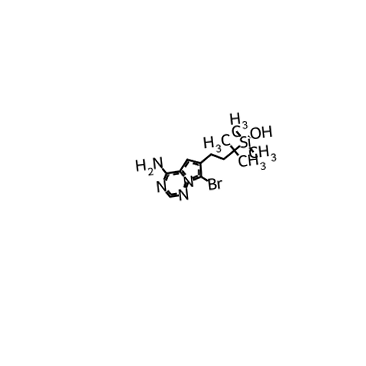 CC(C)(CCc1cc2c(N)ncnn2c1Br)[Si](C)(C)O